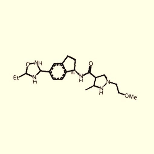 CCC1NC(c2ccc3c(c2)CC[C@H]3NC(=O)C2CN(CCOC)NC2C)NO1